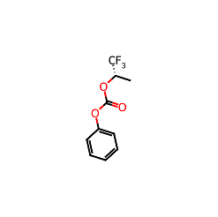 C[C@H](OC(=O)Oc1ccccc1)C(F)(F)F